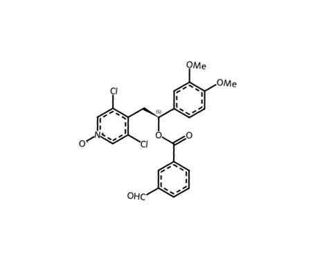 COc1ccc([C@H](Cc2c(Cl)c[n+]([O-])cc2Cl)OC(=O)c2cccc(C=O)c2)cc1OC